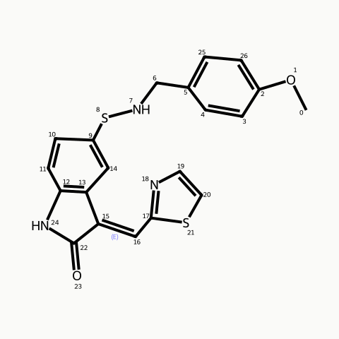 COc1ccc(CNSc2ccc3c(c2)/C(=C\c2nccs2)C(=O)N3)cc1